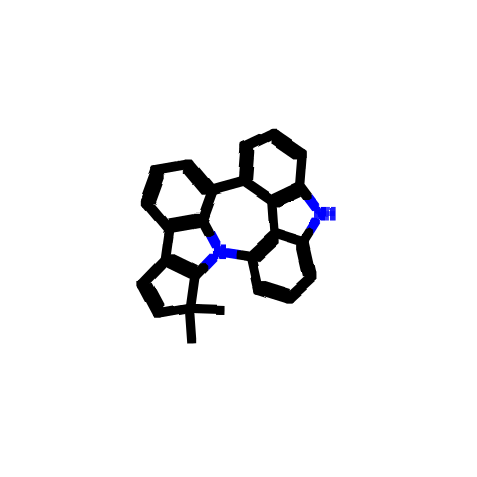 CC1(C)C=Cc2c1n1c3cccc4[nH]c5cccc(c6cccc2c61)c5c43